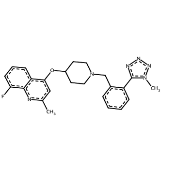 Cc1cc(OC2CCN(Cc3ccccc3-c3nnnn3C)CC2)c2cccc(F)c2n1